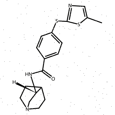 Cc1cnc(Sc2ccc(C(=O)N[C@H]3CN4CCC3CC4)cc2)s1